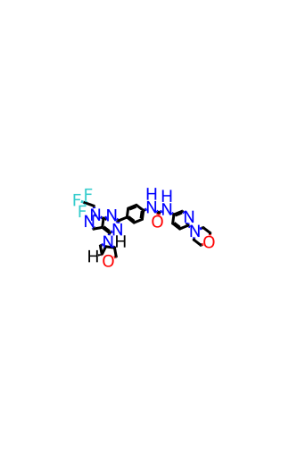 O=C(Nc1ccc(-c2nc(N3C[C@@H]4C[C@H]3CO4)c3cnn(CC(F)(F)F)c3n2)cc1)Nc1ccc(N2CCOCC2)nc1